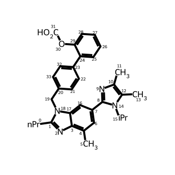 CCCc1nc2c(C)cc(-c3nc(C)c(C)n3C(C)C)cc2n1Cc1ccc(-c2ccccc2OC(=O)O)cc1